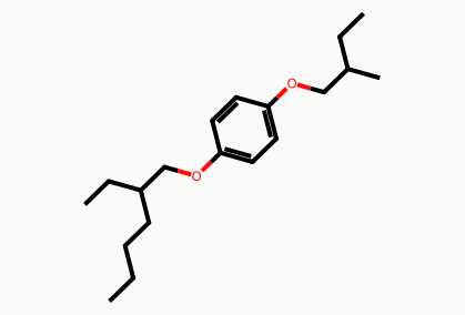 CCCCC(CC)COc1ccc(OCC(C)CC)cc1